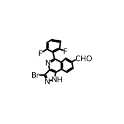 O=Cc1ccc2c(c1)c(-c1c(F)cccc1F)nc1c(Br)n[nH]c12